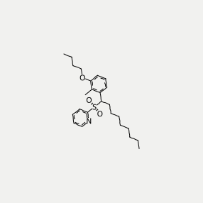 CCCCCCCCC(c1cccc(OCCCC)c1C)S(=O)(=O)c1ccccn1